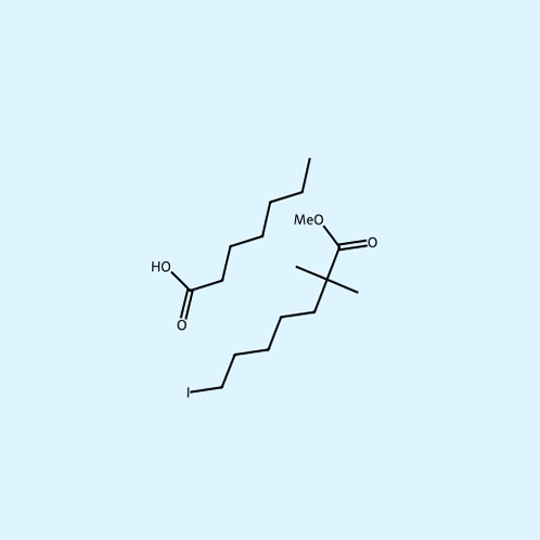 CCCCCCC(=O)O.COC(=O)C(C)(C)CCCCCI